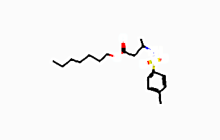 CCCCCCCOC(=O)CC(C)NS(=O)(=O)c1ccc(C)cc1